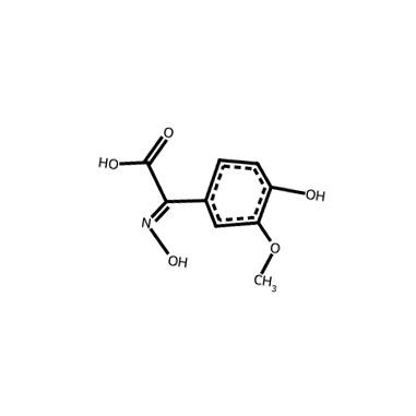 COc1cc(/C(=N\O)C(=O)O)ccc1O